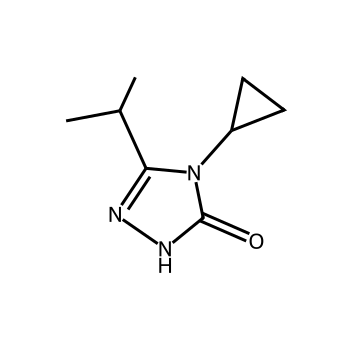 CC(C)c1n[nH]c(=O)n1C1CC1